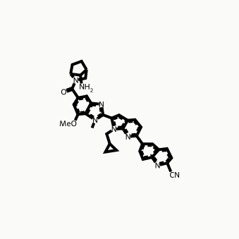 COc1cc(C(=O)N2CC3CCC2C3N)cc2nc(-c3cc4ccc(-c5ccc6nc(C#N)ccc6c5)nc4n3CC3CC3)n(C)c12